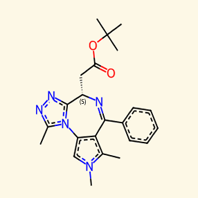 Cc1c2c(cn1C)-n1c(C)nnc1[C@H](CC(=O)OC(C)(C)C)N=C2c1ccccc1